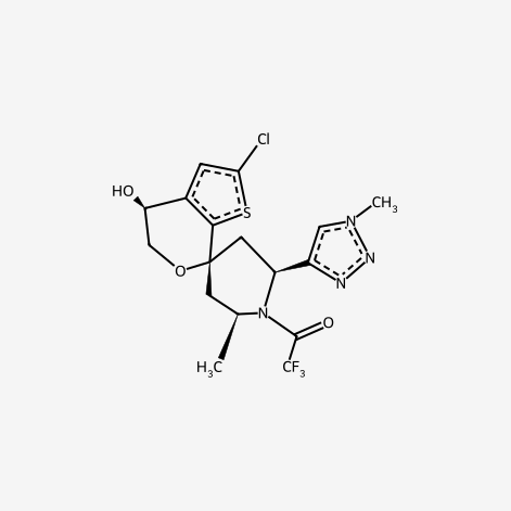 C[C@H]1C[C@@]2(C[C@@H](c3cn(C)nn3)N1C(=O)C(F)(F)F)OC[C@@H](O)c1cc(Cl)sc12